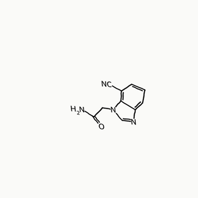 N#Cc1cccc2ncn(CC(N)=O)c12